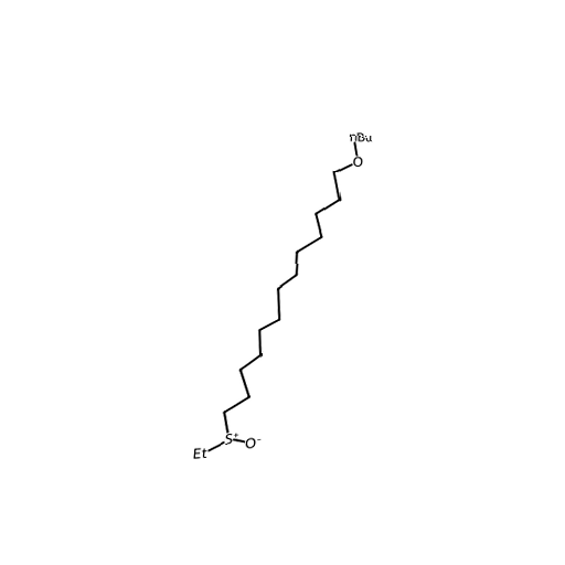 CCCCOCCCCCCCCCCCCC[S+]([O-])CC